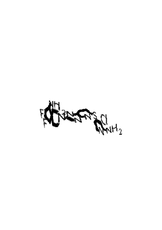 Nc1nccc(Sc2ccc3nc(N4CCC5(CC4)CC(F)(F)CC5N)cnc3n2)c1Cl